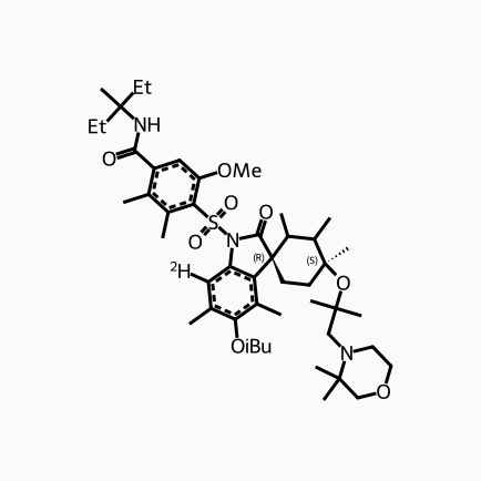 [2H]c1c(C)c(OCC(C)C)c(C)c2c1N(S(=O)(=O)c1c(OC)cc(C(=O)NC(C)(CC)CC)c(C)c1C)C(=O)[C@@]21CC[C@](C)(OC(C)(C)CN2CCOCC2(C)C)C(C)C1C